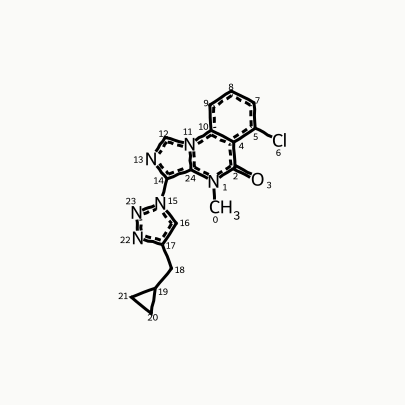 Cn1c(=O)c2c(Cl)cccc2n2cnc(-n3cc(CC4CC4)nn3)c12